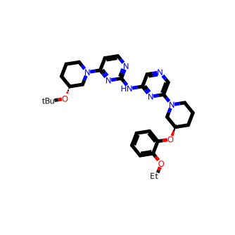 CCOc1ccccc1O[C@@H]1CCCN(c2cncc(Nc3nccc(N4CCC[C@@H](OC(C)(C)C)C4)n3)n2)C1